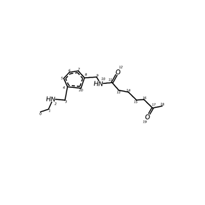 CCNCc1cccc(CNC(=O)CCCCC(C)=O)c1